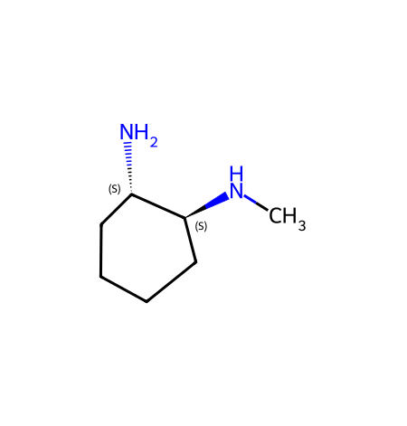 CN[C@H]1CCCC[C@@H]1N